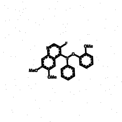 COc1cc2ncc(F)c(N(Oc3ccccc3OC)c3ccccc3)c2cc1OC